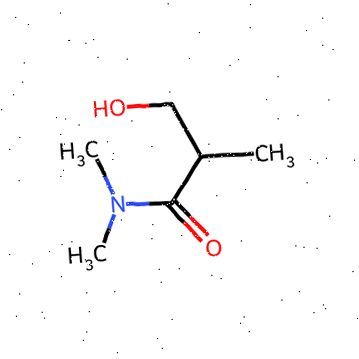 CC(CO)C(=O)N(C)C